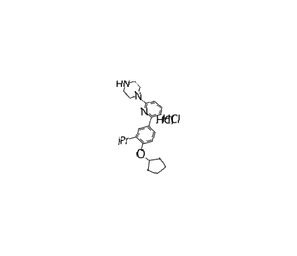 CC(C)c1cc(-c2cccc(N3CCNCC3)n2)ccc1OC1CCCC1.Cl.Cl